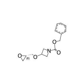 O=C(OCc1ccccc1)N1CC(OC[C@@H]2CO2)C1